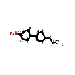 CCCC1CCC(c2ccc(Br)cc2)CC1